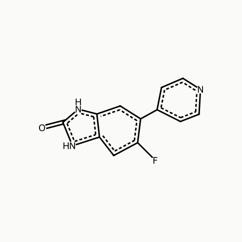 O=c1[nH]c2cc(F)c(-c3ccncc3)cc2[nH]1